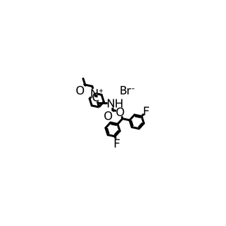 CC(=O)C[N+]12CCC(CC1)C(NC(=O)OC(c1cccc(F)c1)c1cccc(F)c1)C2.[Br-]